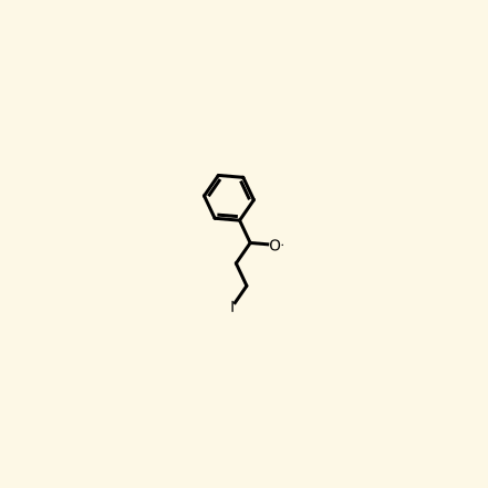 [O]C(CCI)c1ccccc1